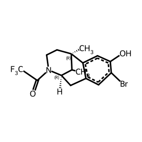 CC1[C@H]2Cc3cc(Br)c(O)cc3[C@]1(C)CCN2C(=O)C(F)(F)F